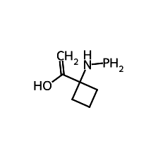 C=C(O)C1(NP)CCC1